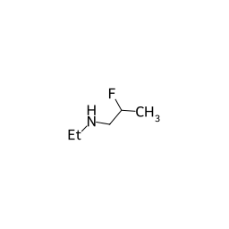 CCNCC(C)F